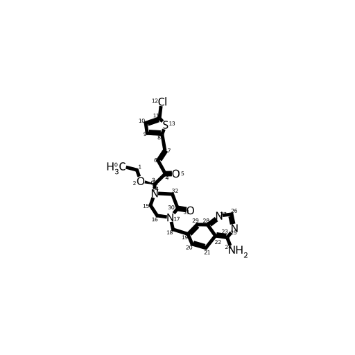 CCO[C@@H](C(=O)C=Cc1ccc(Cl)s1)N1CCN(Cc2ccc3c(N)ncnc3c2)C(=O)C1